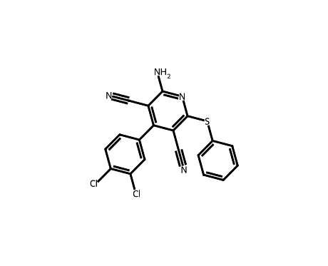 N#Cc1c(N)nc(Sc2ccccc2)c(C#N)c1-c1ccc(Cl)c(Cl)c1